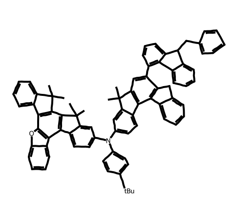 CC(C)(C)c1ccc(N(c2ccc3c(c2)C(C)(C)c2cc(-c4cccc5c4-c4ccccc4C5Cc4ccccc4)c4c(c2-3)-c2ccccc2C4)c2ccc3c(c2)C(C)(C)c2c4c(c5oc6ccccc6c5c2-3)-c2ccccc2C4(C)C)cc1